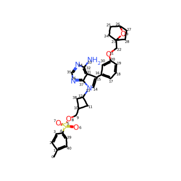 Cc1ccc(S(=O)(=O)OCC2CC(n3cc(-c4cccc(OCC56CCC(CC5)O6)c4)c4c(N)ncnc43)C2)cc1